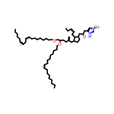 C=C(CCC(COCCCCCCCC/C=C\C/C=C\CCCCC)OCCCCCCCC/C=C\CCCCCCCC)CC1CCC(CC(=O)CC2=CN(S)CN2)C1C/C=C\CC